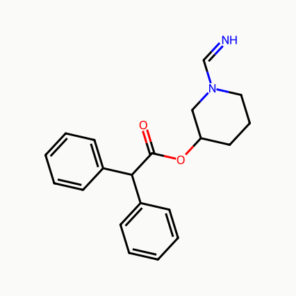 N=CN1CCCC(OC(=O)C(c2ccccc2)c2ccccc2)C1